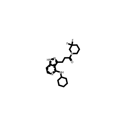 O=C(CCc1n[nH]c2ccnc(NC3CCCCC3)c12)N1CCCC(F)(F)C1